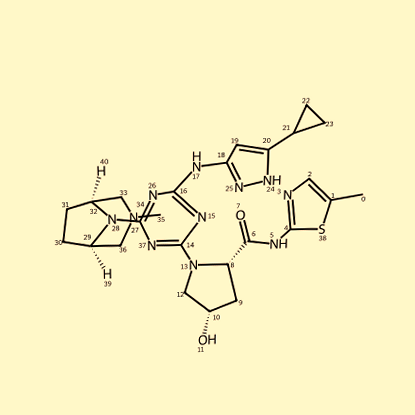 Cc1cnc(NC(=O)[C@@H]2C[C@H](O)CN2c2nc(Nc3cc(C4CC4)[nH]n3)nc(N3[C@@H]4CC[C@H]3CN(C)C4)n2)s1